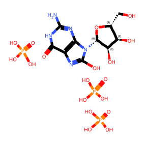 Nc1nc2c(nc(O)n2[C@@H]2O[C@H](CO)[C@@H](O)[C@H]2O)c(=O)[nH]1.O=P(O)(O)O.O=P(O)(O)O.O=P(O)(O)O